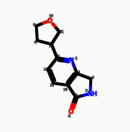 O=C1NCc2nc(C3CCOC3)ccc21